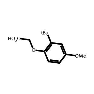 COc1ccc(OCC(=O)O)c(C(C)(C)C)c1